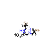 CC(C)(S)CNCC(NCC(C)(C)S)C(=O)O